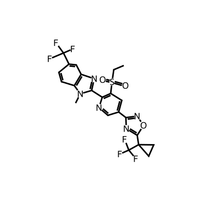 CCS(=O)(=O)c1cc(-c2noc(C3(C(F)(F)F)CC3)n2)cnc1-c1nc2cc(C(F)(F)F)ccc2n1C